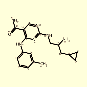 Cc1cccc(Nc2nc(NCC(N)CC3CC3)ncc2C(N)=O)c1